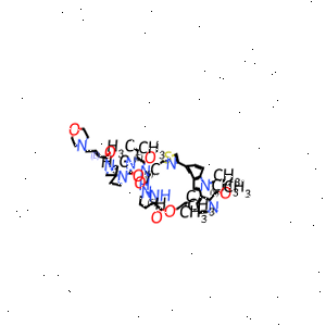 CCn1c(-c2cccnc2[C@H](C)OC)c2c3cc(ccc31)-c1csc(n1)C[C@H](NC(=O)[C@H](C(C)C)N(C)C(=O)N1CCC13CN(C(=O)/C=C/CN1CCOCC1)C3)C(=O)N1CCC[C@H](N1)C(=O)OCC(C)(C)C2